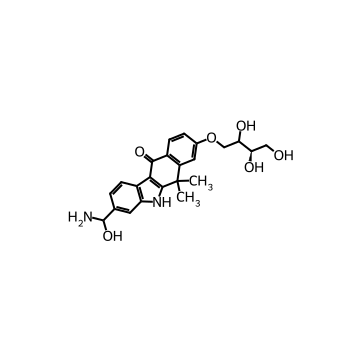 CC1(C)c2cc(OCC(O)[C@H](O)CO)ccc2C(=O)c2c1[nH]c1cc(C(N)O)ccc21